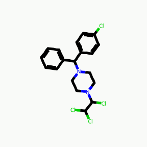 Clc1ccc(C(c2ccccc2)N2CCN(C(Cl)C(Cl)Cl)CC2)cc1